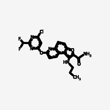 CCCNc1c(C(N)=O)oc2ccc3nc(Oc4cc(Cl)nc(C(F)F)n4)ccc3c12